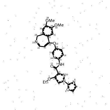 CCOc1cn(-c2ncco2)nc1C(=O)Nc1ccc(OC2=CC=NCc3cc(OC)c(OC)cc32)cn1